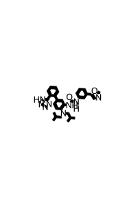 CC(C)CN(CC(C)C)c1ccc(-c2ccccc2-c2nnn[nH]2)cc1NC(=O)Nc1cccc(-c2cnco2)c1